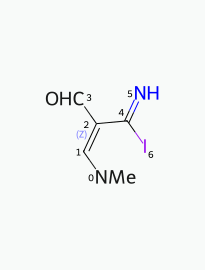 CN/C=C(/C=O)C(=N)I